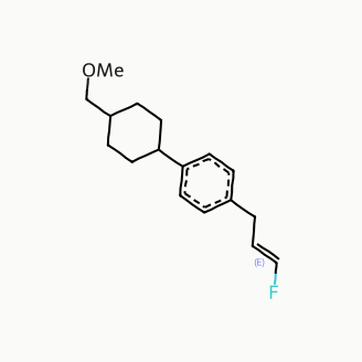 COCC1CCC(c2ccc(C/C=C/F)cc2)CC1